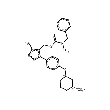 CN(Cc1ccccc1)C(=O)OCc1c(-c2ccc(O[C@@H]3CCC[C@@H](C(=O)O)C3)cc2)cnn1C